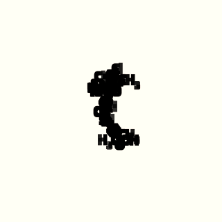 CCOC(=O)C1=C(CN2CCN3C(=O)N(c4nc(-c5ccc(C(C)(C)C(=O)O)cc5)cs4)C[C@@H]3C2)NC(c2nccs2)=NC1c1ccc(Cl)cc1Cl